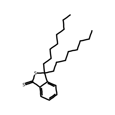 CCCCCCCCC1(CCCCCCCC)SC(=S)c2ccccc21